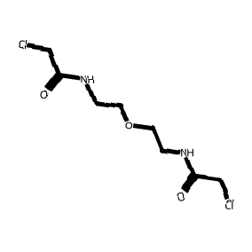 O=C(CCl)NCCOCCNC(=O)CCl